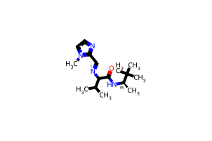 CC(C)C(/N=C/c1nccn1C)C(=O)N[C@H](C)C(C)(C)C